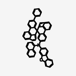 c1ccc(-c2ccc3c(c2)C2(c4cc(N(c5ccc6c(c5)oc5ccccc56)c5cccc6ccccc56)ccc4-c4cccc5cccc2c45)c2cccc4cccc-3c24)cc1